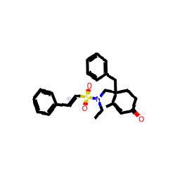 CCN(CC1(Cc2ccccc2)CCC(=O)C=C1C)S(=O)(=O)/C=C/c1ccccc1